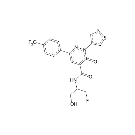 O=C(NC(CO)CF)c1cc(-c2ccc(C(F)(F)F)cc2)nn(-c2cnsc2)c1=O